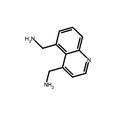 NCc1cccc2nccc(CN)c12